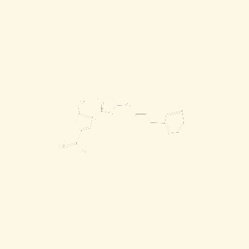 CSc1sc(C(=N)N)cc1-c1csc(NCCCc2ccccc2)n1